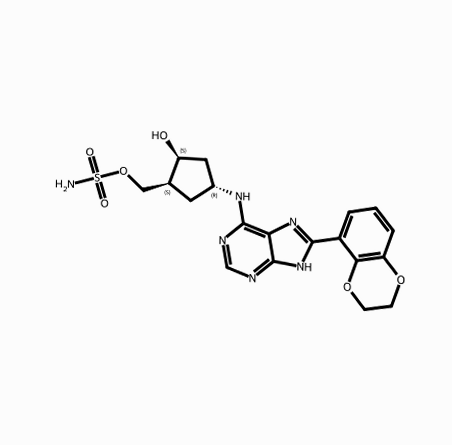 NS(=O)(=O)OC[C@@H]1C[C@@H](Nc2ncnc3[nH]c(-c4cccc5c4OCCO5)nc23)C[C@@H]1O